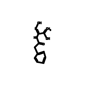 C=C(O)/C(=N\O)NC(=O)Cc1ccccc1